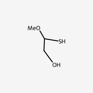 COC(S)CO